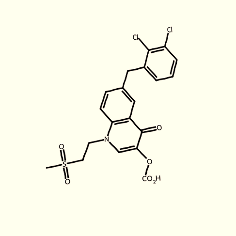 CS(=O)(=O)CCn1cc(OC(=O)O)c(=O)c2cc(Cc3cccc(Cl)c3Cl)ccc21